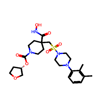 Cc1cccc(N2CCN(S(=O)(=O)CC3(C(=O)NO)CCN(C(=O)O[C@H]4CCOC4)CC3)CC2)c1C